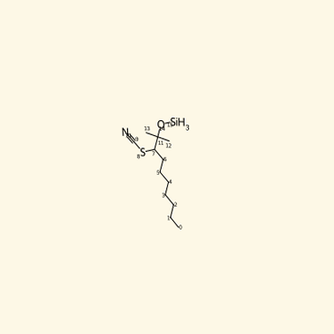 CCCCCCCC(SC#N)C(C)(C)O[SiH3]